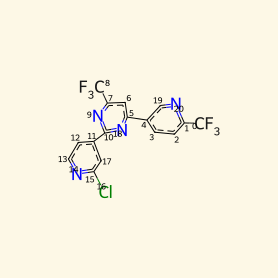 FC(F)(F)c1ccc(-c2cc(C(F)(F)F)nc(-c3ccnc(Cl)c3)n2)cn1